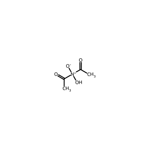 CC(=O)[N+]([O-])(O)C(C)=O